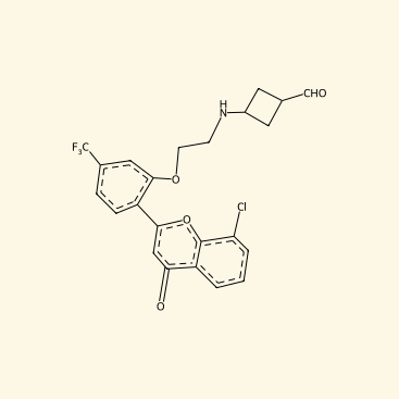 O=CC1CC(NCCOc2cc(C(F)(F)F)ccc2-c2cc(=O)c3cccc(Cl)c3o2)C1